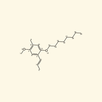 C/C=C/c1cc(OC)c(C)cc1OCCCCCCCC